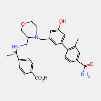 Cc1cc(C(N)=O)ccc1-c1cc(O)cc(CN2CCOCC2CN[C@@H](C)c2ccc(C(=O)O)cc2)c1